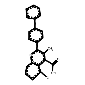 Cc1c(-c2ccc(-c3ccccc3)cc2)nc2cccc(Cl)c2c1C(=O)O